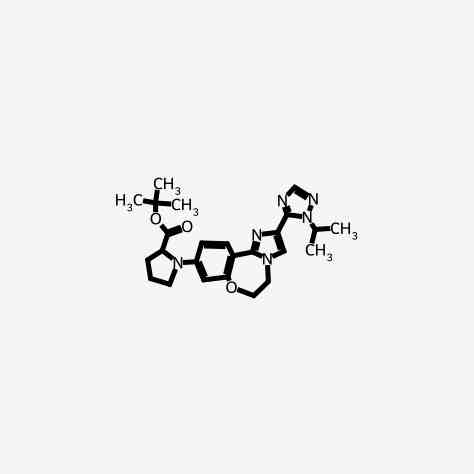 CC(C)n1ncnc1-c1cn2c(n1)-c1ccc(N3CCCC3C(=O)OC(C)(C)C)cc1OCC2